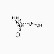 Nc1nc2nc(SCc3ccccc3)nc(CCCN=NCCO)c2s1